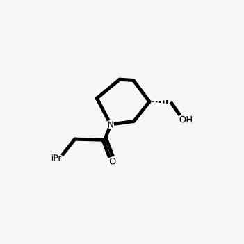 CC(C)CC(=O)N1CCC[C@H](CO)C1